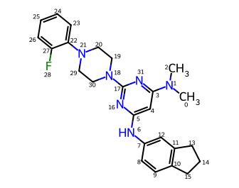 CN(C)c1cc(Nc2ccc3c(c2)CCC3)nc(N2CCN(c3ccccc3F)CC2)n1